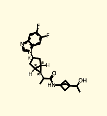 CC(C(=O)NC12CC(C(C)O)(C1)C2)[C@H]1[C@@H]2C[C@@H](n3cnc4cc(F)c(F)cc43)C[C@@H]21